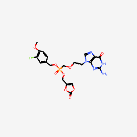 COc1ccc(COP(=O)(COCCn2cnc3c(=O)[nH]c(N)nc32)OCc2coc(=O)o2)cc1F